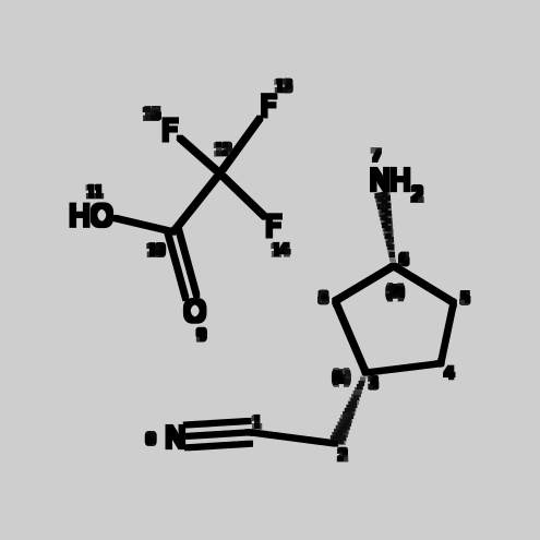 N#CC[C@H]1CC[C@@H](N)C1.O=C(O)C(F)(F)F